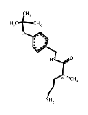 C[C@H](CCCN)C(=O)NCc1ccc(OC(C)(C)C)cc1